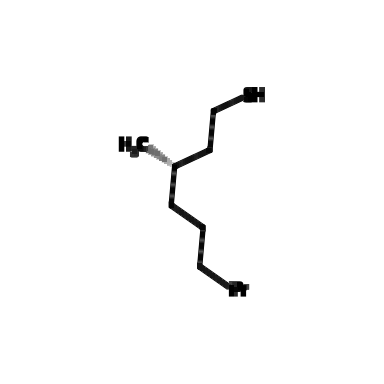 CC(C)CCC[C@H](C)CCS